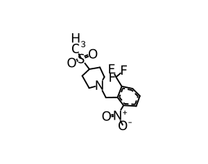 CS(=O)(=O)C1CCN(Cc2c([N+](=O)[O-])cccc2C(F)(F)F)CC1